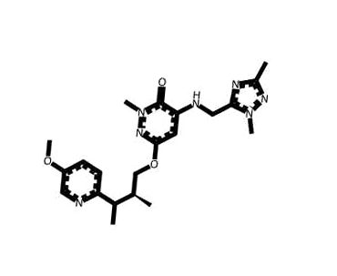 COc1ccc(C(C)[C@H](C)COc2cc(NCc3nc(C)nn3C)c(=O)n(C)n2)nc1